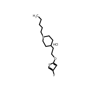 CCCCCN1CCC(CCOc2cc(F)cs2)CC1.Cl